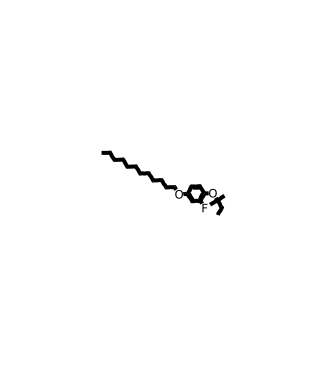 CCCCCCCCCCCCOc1ccc(OC(C)(C)CC)c(F)c1